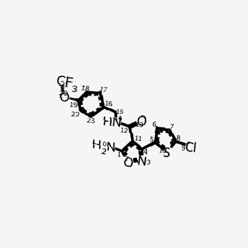 Nc1onc(-c2ccc(Cl)s2)c1C(=O)NCc1ccc(OC(F)(F)F)cc1